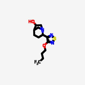 OC1CN2CC1CCC2c1nsnc1OCCCC(F)(F)F